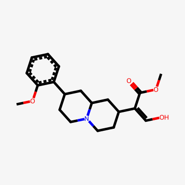 COC(=O)C(=CO)C1CCN2CCC(c3ccccc3OC)CC2C1